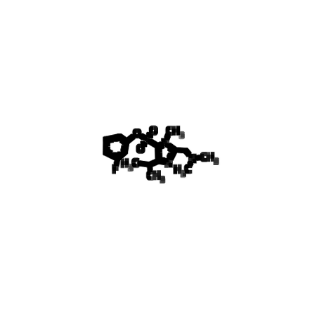 CC(C)c1nc(CN(C)C)n(C)c1S(=O)(=O)Oc1cccc(F)c1